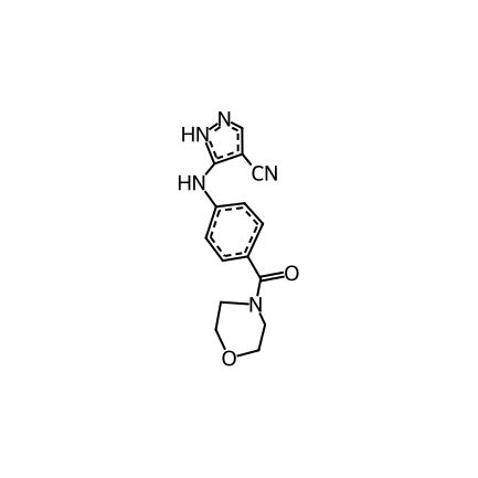 N#Cc1cn[nH]c1Nc1ccc(C(=O)N2CCOCC2)cc1